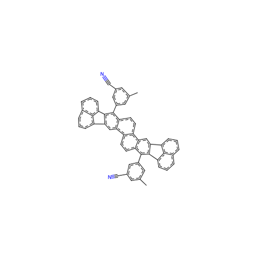 Cc1cc(C#N)cc(-c2c3c(cc4c2ccc2c5cc6c(c(-c7cc(C)cc(C#N)c7)c5ccc42)-c2cccc4cccc-6c24)-c2cccc4cccc-3c24)c1